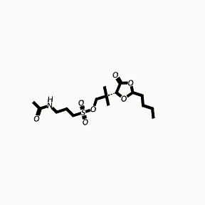 CCCCC1OC(=O)[C@@H](C(C)(C)COS(=O)(=O)CCCNC(C)=O)O1